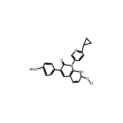 CCOC1C=Cc2cc(-c3ccc(OC)cc3)c(=O)n(-c3ccc(C4CC4)nc3)c2N1